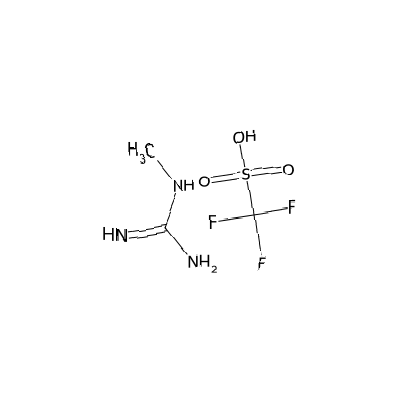 CNC(=N)N.O=S(=O)(O)C(F)(F)F